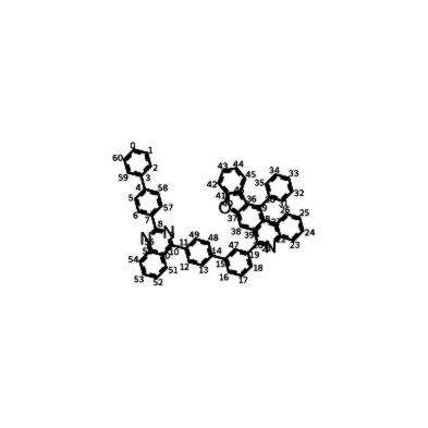 c1ccc(-c2ccc(-c3nc(-c4ccc(-c5cccc(-c6nc7ccccc7c7c(-c8ccccc8)c8c(cc67)oc6ccccc68)c5)cc4)c4ccccc4n3)cc2)cc1